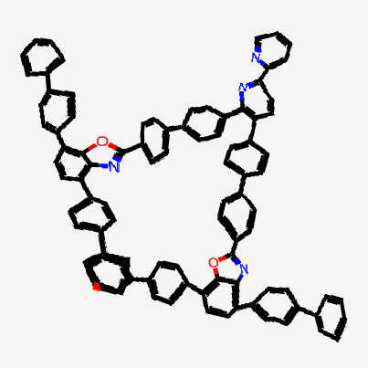 c1ccc(-c2ccc(-c3ccc(-c4ccc(-c5ccccc5)cc4)c4oc(-c5ccc(-c6ccc(-c7ccc(-c8ccccn8)nc7-c7ccc(-c8ccc(-c9nc%10c(-c%11ccc(-c%12ccccc%12)cc%11)ccc(-c%11ccc(-c%12ccccc%12)cc%11)c%10o9)cc8)cc7)cc6)cc5)nc34)cc2)cc1